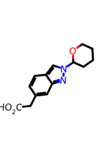 O=C(O)Cc1ccc2cn(C3CCCCO3)nc2c1